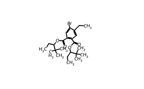 CCc1cc(C(=O)OC(CC)C(C)(C)C)c(C(=O)OC(CC)C(C)(C)C)cc1Br